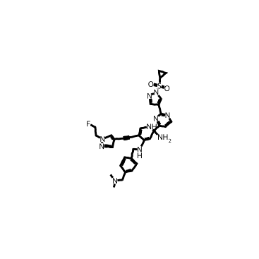 CN(C)Cc1ccc(CNC2=CC(N)(c3ccnc(-c4cnn(S(=O)(=O)C5CC5)c4)n3)NC=C2C#Cc2cnn(CCF)c2)cc1